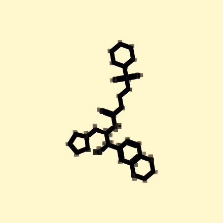 O=C(CCCS(=O)(=O)C1CCCCC1)N[C@H](CN1CCCC1)[C@H](O)c1ccc2c(c1)OCCO2